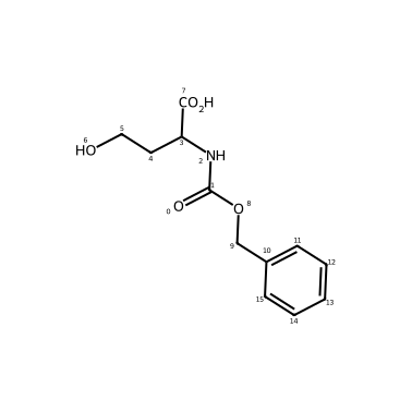 O=C(NC(CCO)C(=O)O)OCc1ccccc1